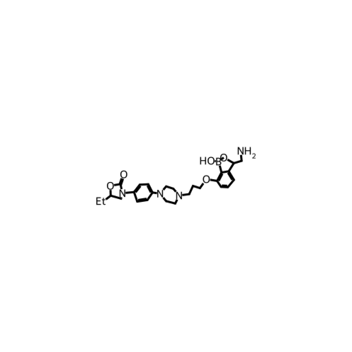 CCC1CN(c2ccc(N3CCN(CCCOc4cccc5c4B(O)OC5CN)CC3)cc2)C(=O)O1